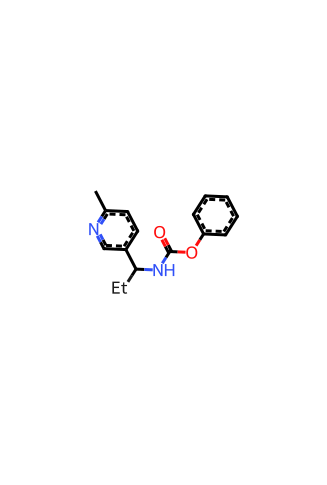 CCC(NC(=O)Oc1ccccc1)c1ccc(C)nc1